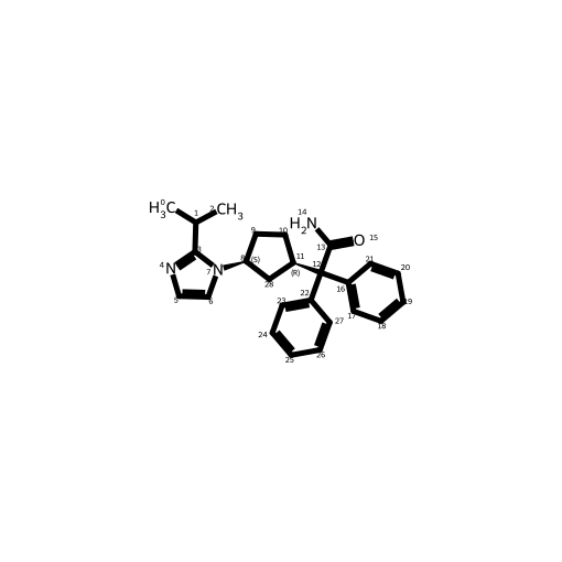 CC(C)c1nccn1[C@H]1CC[C@@H](C(C(N)=O)(c2ccccc2)c2ccccc2)C1